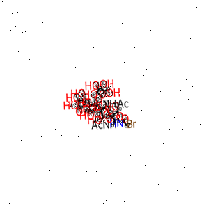 CC(=O)NC1[C@H](NC(=O)CBr)OC(CO)[C@@H](O[C@@H]2OC(CO)[C@@H](O[C@@H]3OC(CO[C@H]4OC(CO)[C@@H](O)C(O)[C@H]4O)[C@@H](O)C(O[C@H]4O[C@H](CO)[C@@H](O)C(O)C4O)C3O)C(O)[C@@H]2NC(C)=O)[C@@H]1O